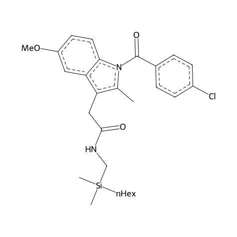 CCCCCC[Si](C)(C)CNC(=O)Cc1c(C)n(C(=O)c2ccc(Cl)cc2)c2ccc(OC)cc12